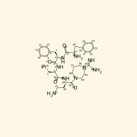 CC(C)C[C@@H](NC(=O)[C@@H](Cc1ccccc1)NC(=O)[C@H](N)Cc1ccccc1)C(=O)N[C@H](CCN)C(=O)N1CCCN(C(=N)N)CC1